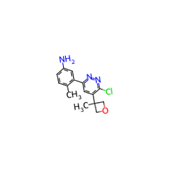 Cc1ccc(N)cc1-c1cc(C2(C)COC2)c(Cl)nn1